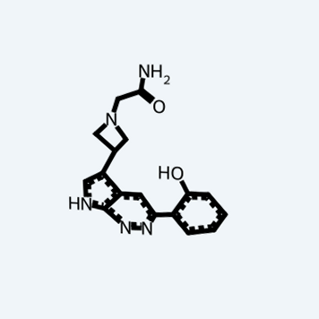 NC(=O)CN1CC(c2c[nH]c3nnc(-c4ccccc4O)cc23)C1